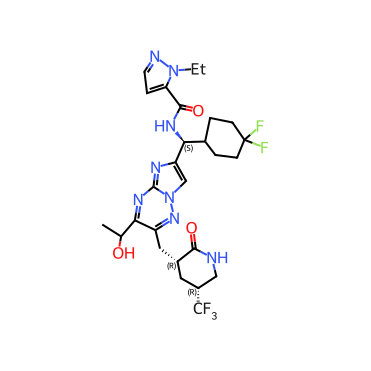 CCn1nccc1C(=O)N[C@H](c1cn2nc(C[C@H]3C[C@@H](C(F)(F)F)CNC3=O)c(C(C)O)nc2n1)C1CCC(F)(F)CC1